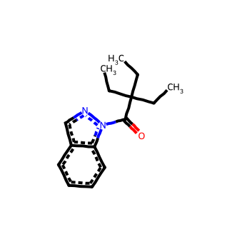 CCC(CC)(CC)C(=O)n1ncc2ccccc21